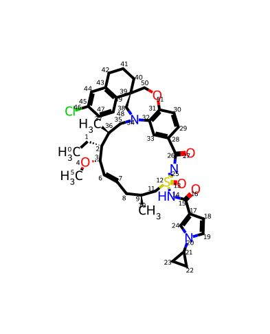 CC[C@H]1[C@@H](OC)/C=C/C[C@H](C)CS(=O)(NC(=O)c2ccn(C3CC3)c2)=NC(=O)c2ccc3c(c2)N(C[C@@H]1C)C[C@@]1(CCCc2cc(Cl)ccc21)CO3